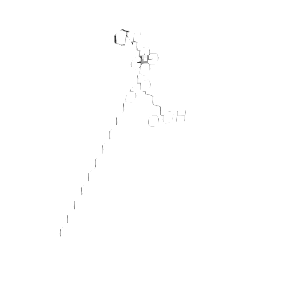 CCCCCCCCCCCCCCCCCCCCOCC(COP(=O)([O-])OCC[n+]1ccccc1)OCCCCC(=O)O